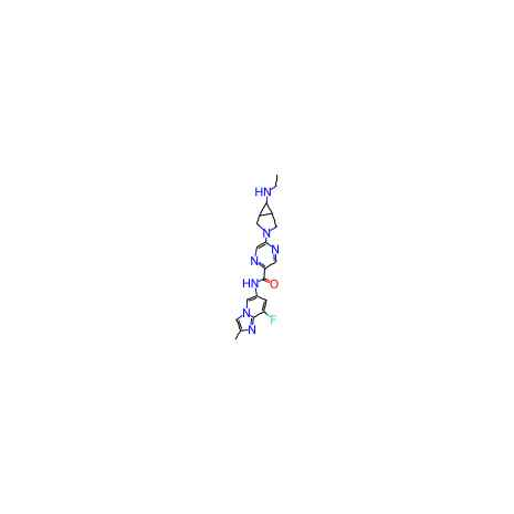 CCNC1C2CN(c3cnc(C(=O)Nc4cc(F)c5nc(C)cn5c4)cn3)CC21